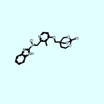 CCC12OCCC(COc3ccnc(C[S+]([O-])c4nc5ccccc5[nH]4)c3C)(CO1)CO2